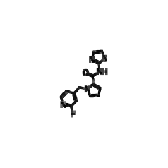 O=C(Nc1nccs1)c1cccn1Cc1ccnc(F)c1